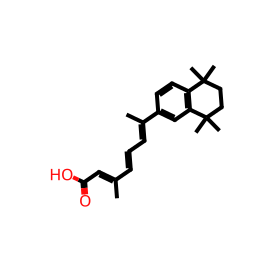 CC(C=CC=C(C)c1ccc2c(c1)C(C)(C)CCC2(C)C)=CC(=O)O